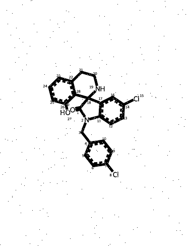 O=C1N(Cc2ccc(Cl)cc2)c2ccc(Cl)cc2C12NCCc1cccc(O)c12